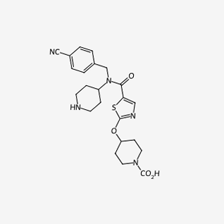 N#Cc1ccc(CN(C(=O)c2cnc(OC3CCN(C(=O)O)CC3)s2)C2CCNCC2)cc1